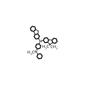 CN(c1ccccc1)c1ccc(N(c2ccc3c(c2)Cc2ccccc2-3)c2ccc3c(c2)C(C)(C)c2ccccc2-3)cc1